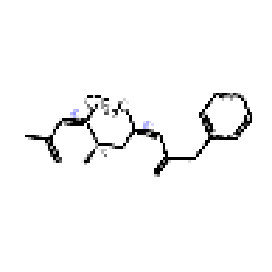 C=C(C)/C=C(\[C@H](C)C/C(=C\C(=C)Cc1ccccc1)C(F)(F)F)C(F)(F)F